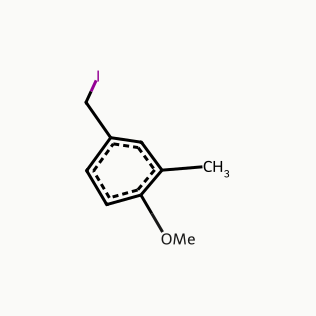 COc1ccc(CI)cc1C